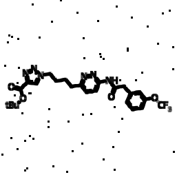 CC(C)(C)OC(=O)c1cn(CCCCc2ccc(NC(=O)Cc3cccc(OC(F)(F)F)c3)nn2)nn1